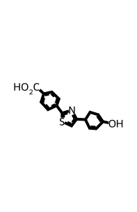 O=C(O)c1ccc(-c2nc(C3C=CC(O)=CC3)cs2)cc1